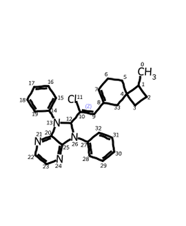 CC1CCC12CCC=C(/C=C(\Cl)C1N(c3ccccc3)c3nccnc3N1c1ccccc1)C2